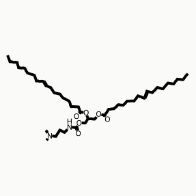 CCCCCCCCC=CCCCCCCCC(=O)OCC(COC(=O)NCCCN(C)C)OC(=O)CCCCCCCC=CCCCCCCCC